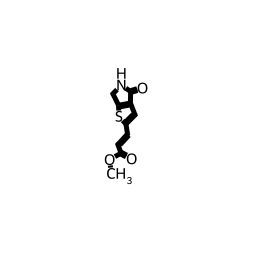 COC(=O)/C=C/c1cc2c(s1)CNC2=O